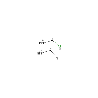 CCCCCl.[Li][CH2]CCC